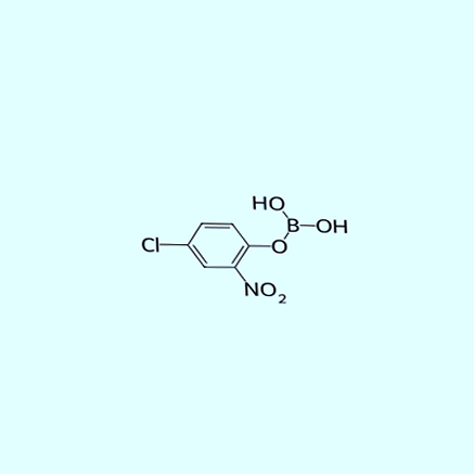 O=[N+]([O-])c1cc(Cl)ccc1OB(O)O